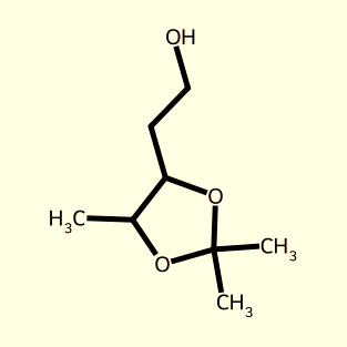 CC1OC(C)(C)OC1CCO